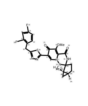 COc1c2n(cc(-c3nnc(Cc4ccc(F)cc4F)s3)c1=O)N(C)C1(CC[C@@H]3C[C@@]31C(C)=O)NC2=O